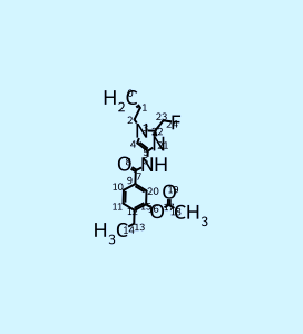 C=CCn1cc(NC(=O)c2ccc(CC)c(OC(C)=O)c2)nc1CF